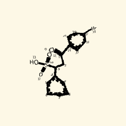 O=C(CC(c1ccccc1)S(=O)(=O)O)c1ccc(Br)cc1